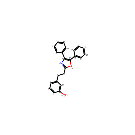 Oc1cccc(CCc2nc(-c3ccccc3)c(-c3ccccc3)o2)c1